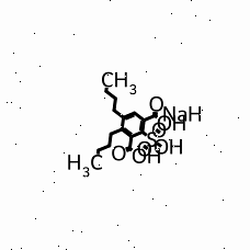 CCCCc1cc(C(=O)O)c(S(=O)(=O)O)c(C(=O)O)c1CCCC.[NaH]